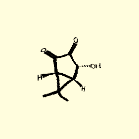 CC1(C)[C@@H]2[C@H]1C(=O)C(=O)[C@@H]2O